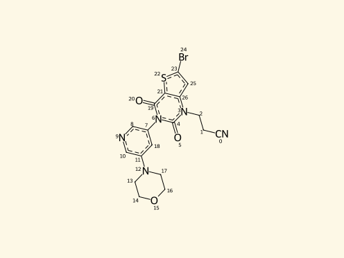 N#CCCn1c(=O)n(-c2cncc(N3CCOCC3)c2)c(=O)c2sc(Br)cc21